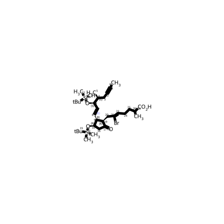 CC#CC[C@H](C)[C@@H](/C=C/[C@H]1[C@H](O[Si](C)(C)C(C)(C)C)CC(=O)[C@@H]1CC(Br)=CCCC(C)C(=O)O)O[Si](C)(C)C(C)(C)C